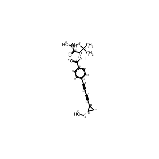 CSC(C)(C)[C@H](NC(=O)c1ccc(C#CC#CC2C[C@@H]2CO)cc1)C(=O)NO